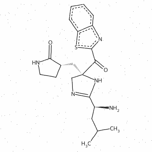 CC(C)C[C@H](N)C1=NC[C@@](C[C@@H]2CCNC2=O)(C(=O)c2nc3ccccc3s2)N1